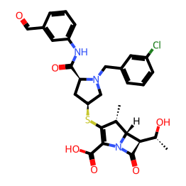 C[C@@H](O)[C@H]1C(=O)N2C(C(=O)O)=C(S[C@H]3C[C@@H](C(=O)Nc4cccc(C=O)c4)N(Cc4cccc(Cl)c4)C3)[C@H](C)[C@H]12